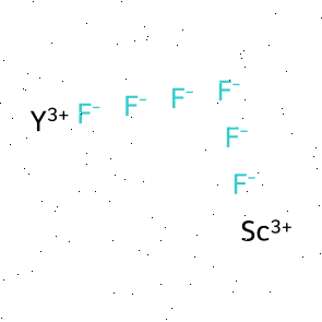 [F-].[F-].[F-].[F-].[F-].[F-].[Sc+3].[Y+3]